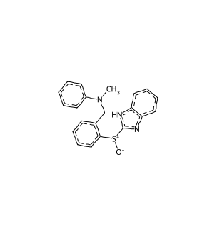 CN(Cc1ccccc1[S+]([O-])c1nc2ccccc2[nH]1)c1ccccc1